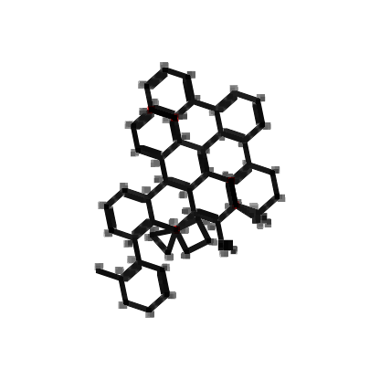 Bc1cc2c(-c3c(C4=CCCCC4)cccc3-c3ccccc3)c3ccccc3c(-c3cccc(C4=C(C)CCC=C4)c3C3CCC3)c2c(C2CC2)c1B